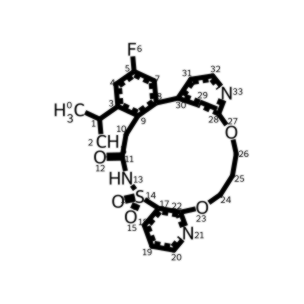 CC(C)c1cc(F)cc2c1CC(=O)NS(=O)(=O)c1cccnc1OCCCOc1cc-2ccn1